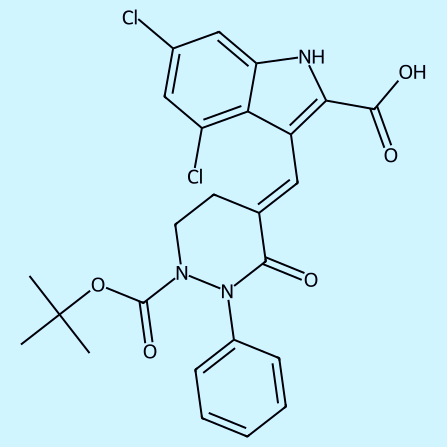 CC(C)(C)OC(=O)N1CCC(=Cc2c(C(=O)O)[nH]c3cc(Cl)cc(Cl)c23)C(=O)N1c1ccccc1